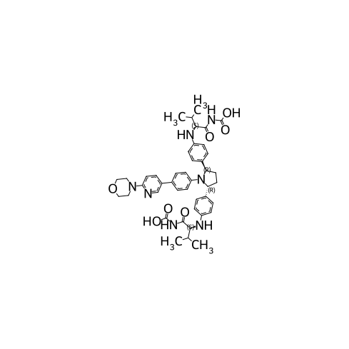 CC(C)[C@H](Nc1ccc([C@H]2CC[C@H](c3ccc(N[C@H](C(=O)NC(=O)O)C(C)C)cc3)N2c2ccc(-c3ccc(N4CCOCC4)nc3)cc2)cc1)C(=O)NC(=O)O